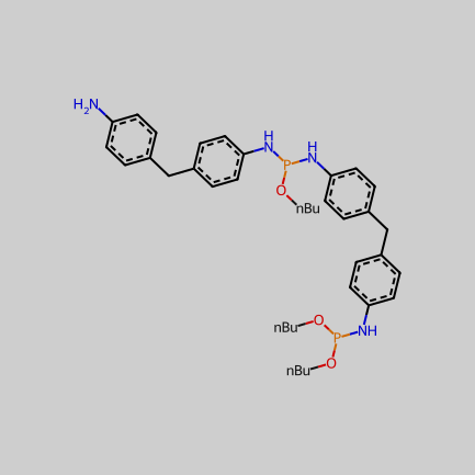 CCCCOP(Nc1ccc(Cc2ccc(N)cc2)cc1)Nc1ccc(Cc2ccc(NP(OCCCC)OCCCC)cc2)cc1